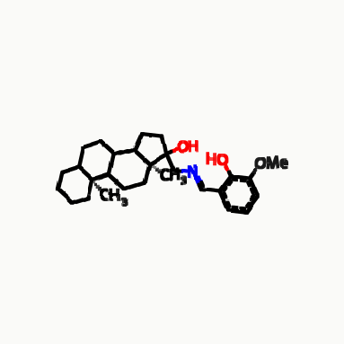 COc1cccc(/C=N/CC2(O)CCC3C4CCC5CCCC[C@]5(C)C4CC[C@@]32C)c1O